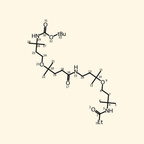 CCC(=O)NC(C)(C)CCOC(C)(C)CCNC(=O)CCC(C)(C)OCCC(C)(C)NC(=O)OC(C)(C)C